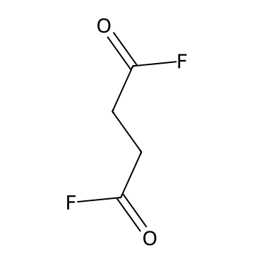 O=C(F)CCC(=O)F